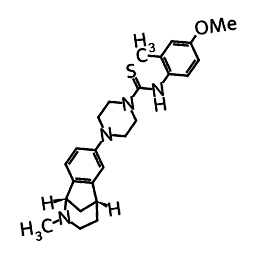 COc1ccc(NC(=S)N2CCN(c3ccc4c(c3)[C@@H]3CCN(C)[C@H]4C3)CC2)c(C)c1